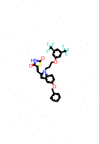 O=C1NC(=O)C(=Cc2cc3cc(OCc4ccccc4)ccc3n2CCCOc2cc(C(F)(F)F)cc(C(F)(F)F)c2)S1